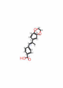 C/C(=C\c1ccc(C(=O)O)cc1)c1ccc2c(c1)OCCO2